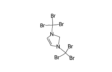 BrC(Br)(Br)N1C=CN(C(Br)(Br)Br)C1